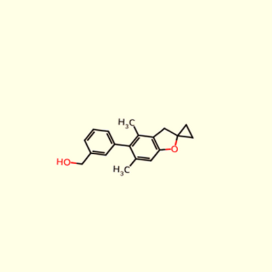 Cc1cc2c(c(C)c1-c1cccc(CO)c1)CC1(CC1)O2